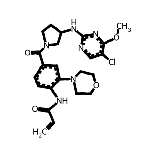 C=CC(=O)Nc1ccc(C(=O)N2CCC(Nc3ncc(Cl)c(OC)n3)C2)cc1N1CCOCC1